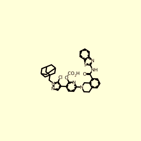 O=C(O)Oc1nc(N2CCc3cccc(C(=O)Nc4nc5ccccc5s4)c3C2)ccc1-c1cnn(CC23CC4CC(CC(C4)C2)C3)c1Cl